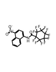 O=C(Nc1ccc([N+](=O)[O-])c2ccccc12)C1(F)C(F)(F)C(F)(F)C(F)(F)C(F)(F)C1(F)F